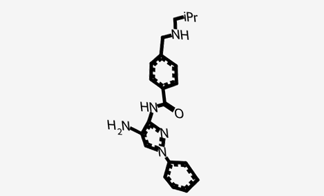 CC(C)CNCc1ccc(C(=O)Nc2nn(-c3ccccc3)cc2N)cc1